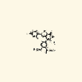 C=Cc1ccc(-c2c(C)[nH]c(=O)c(Br)c2OCc2ccc(F)cc2F)cc1C(=O)NC